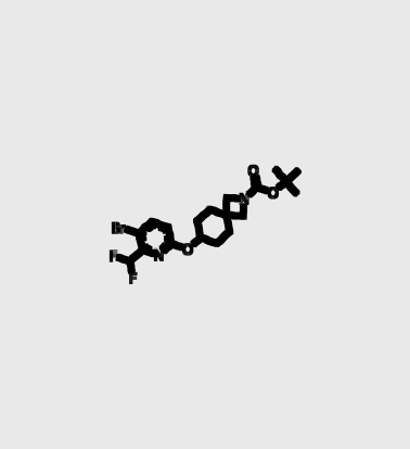 CC(C)(C)OC(=O)N1CC2(CCC(Oc3ccc(Br)c(C(F)F)n3)CC2)C1